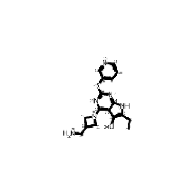 CCc1[nH]c2nc(Sc3cccnc3)nc(N3CC(CN)C3)c2c1Cl